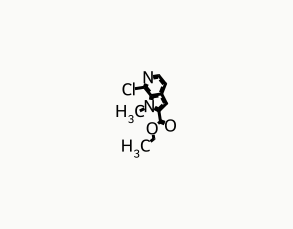 CCOC(=O)c1cc2ccnc(Cl)c2n1C